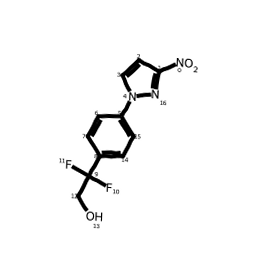 O=[N+]([O-])c1ccn(-c2ccc(C(F)(F)CO)cc2)n1